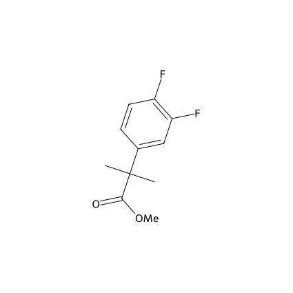 COC(=O)C(C)(C)c1ccc(F)c(F)c1